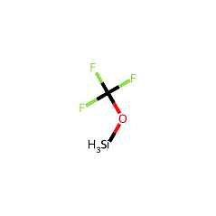 FC(F)(F)O[SiH3]